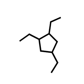 CCC1CC(CC)C(CC)C1